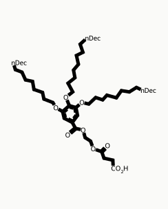 CCCCCCCCCCCCCCCCCCOc1cc(C(=O)OCCOC(=O)CCC(=O)O)cc(OCCCCCCCCCCCCCCCCCC)c1OCCCCCCCCCCCCCCCCCC